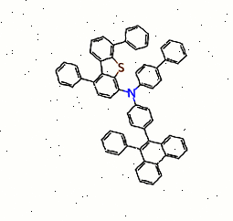 c1ccc(-c2ccc(N(c3ccc(-c4c(-c5ccccc5)c5ccccc5c5ccccc45)cc3)c3ccc(-c4ccccc4)c4c3sc3c(-c5ccccc5)cccc34)cc2)cc1